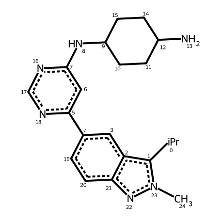 CC(C)c1c2cc(-c3cc(NC4CCC(N)CC4)ncn3)ccc2nn1C